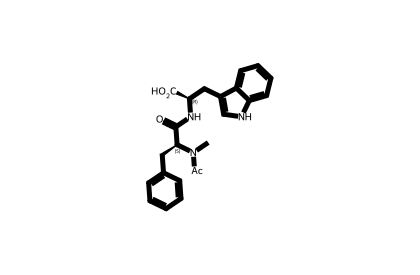 CC(=O)N(C)[C@@H](Cc1ccccc1)C(=O)N[C@H](Cc1c[nH]c2ccccc12)C(=O)O